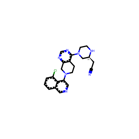 N#CC[C@H]1CN(c2ncnc3c2CCN(c2cncc4cccc(Cl)c24)C3)CCN1